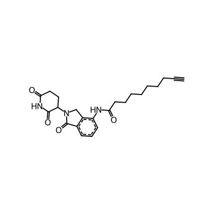 C#CCCCCCCCC(=O)Nc1cccc2c1CN(C1CCC(=O)NC1=O)C2=O